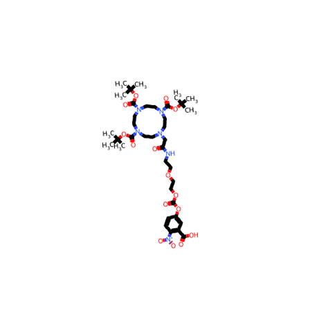 CC(C)(C)OC(=O)N1CCN(CC(=O)NCCOCCOC(=O)Oc2ccc([N+](=O)[O-])c(C(=O)O)c2)CCN(C(=O)OC(C)(C)C)CCN(C(=O)OC(C)(C)C)CC1